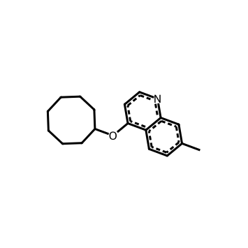 Cc1ccc2c(OC3CCCCCCC3)ccnc2c1